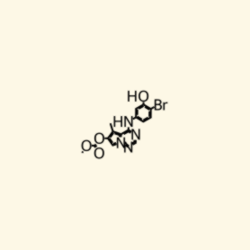 COC(=O)Oc1cn2ncnc(Nc3ccc(Br)c(O)c3)c2c1C